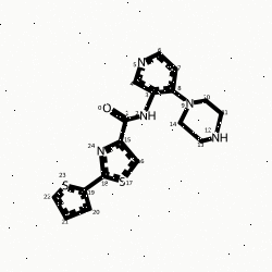 O=C(Nc1cnccc1N1CCNCC1)c1csc(-c2cccs2)n1